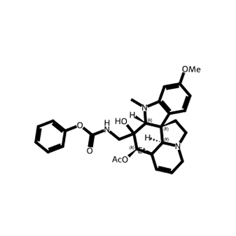 CCC12C=CCN3CC[C@@]4(c5ccc(OC)cc5N(C)[C@H]4C(O)(CNC(=O)Oc4ccccc4)[C@@H]1OC(C)=O)[C@@H]32